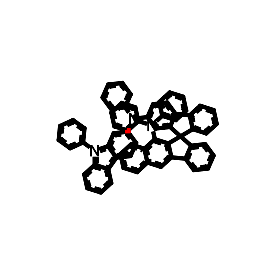 c1ccc(N(c2ccc3c(c2)C2(c4ccccc4-3)c3ccccc3-c3cc4ccccc4c(N(c4ccccc4)c4ccccc4)c32)c2ccc3c4ccccc4n(-c4ccccc4)c3c2)cc1